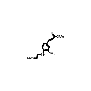 CNCCNc1ccc(C=CC(=O)OC)cc1[N+](=O)[O-]